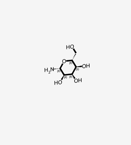 N[C@@H]1O[C@H](CO)[C@@H](O)[C@@H](O)[C@H]1O